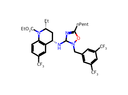 CCCCCC1=NC(N[C@H]2C[C@@H](CC)N(C(=O)OCC)c3ccc(C(F)(F)F)cc32)N(Cc2cc(C(F)(F)F)cc(C(F)(F)F)c2)O1